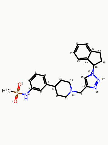 CS(=O)(=O)Nc1cccc(C2CCN(Cc3cn(C4CCc5ccccc54)nn3)CC2)c1